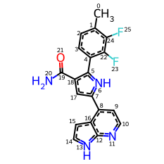 Cc1ccc(-c2[nH]c(-c3ccnc4[nH]ccc34)cc2C(N)=O)c(F)c1F